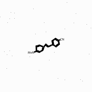 CNc1ccc(/C=C/c2ccc(C#N)cc2)cc1